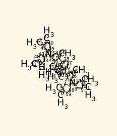 CC1=C(C)CC(N(c2ccc(C)c(C)c2)c2cc(C)c3c(c2)C(C)(C)c2c-3ccc3c2C(C)(C)c2cc(N(c4ccc(C)c(C)c4)c4ccc(C)c(C)c4)cc(C)c2-3)C=C1